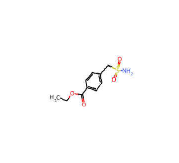 CCOC(=O)c1ccc(CS(N)(=O)=O)cc1